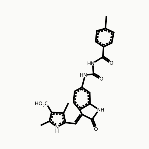 Cc1ccc(C(=O)NC(=O)Nc2ccc3c(c2)NC(=O)C3=Cc2[nH]c(C)c(C(=O)O)c2C)cc1